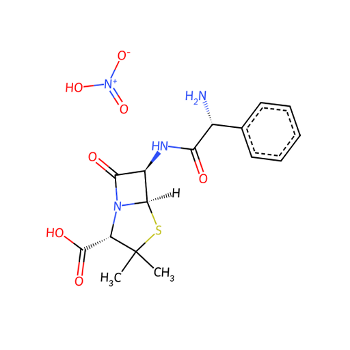 CC1(C)S[C@@H]2[C@H](NC(=O)[C@H](N)c3ccccc3)C(=O)N2[C@H]1C(=O)O.O=[N+]([O-])O